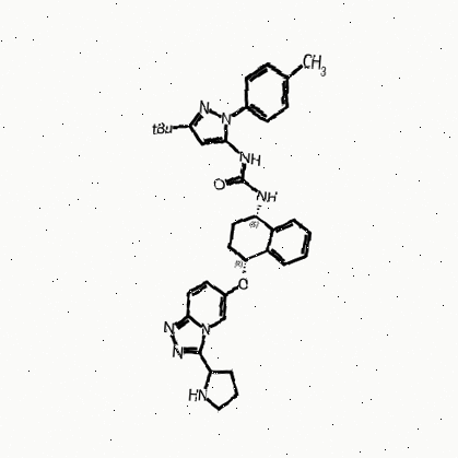 Cc1ccc(-n2nc(C(C)(C)C)cc2NC(=O)N[C@H]2CC[C@@H](Oc3ccc4nnc(C5CCCN5)n4c3)c3ccccc32)cc1